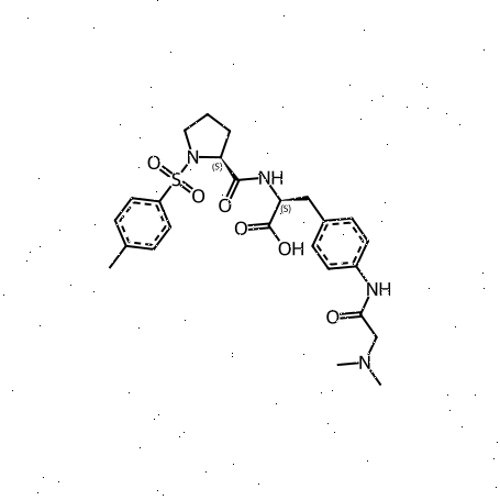 Cc1ccc(S(=O)(=O)N2CCC[C@H]2C(=O)N[C@@H](Cc2ccc(NC(=O)CN(C)C)cc2)C(=O)O)cc1